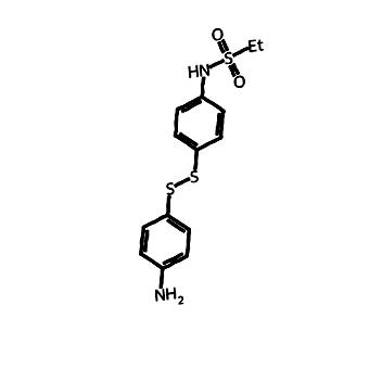 CCS(=O)(=O)Nc1ccc(SSc2ccc(N)cc2)cc1